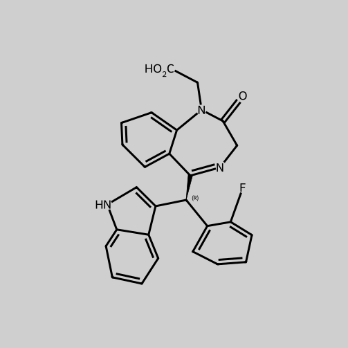 O=C(O)CN1C(=O)CN=C([C@@H](c2ccccc2F)c2c[nH]c3ccccc23)c2ccccc21